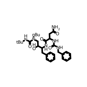 CCCCN(CC(O)C(Cc1ccccc1)NC(=O)C(CC(N)=O)NC(=O)NCc1ccccc1)C(=O)NC(C)(C)C